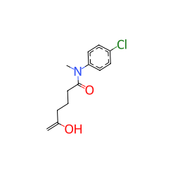 C=C(O)CCCC(=O)N(C)c1ccc(Cl)cc1